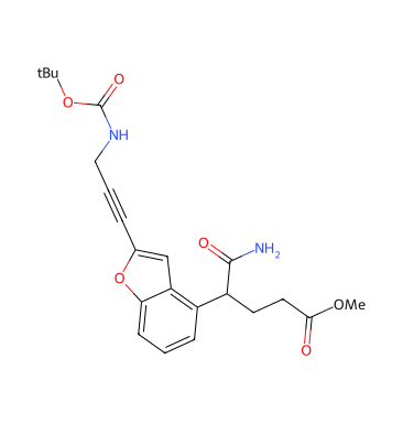 COC(=O)CCC(C(N)=O)c1cccc2oc(C#CCNC(=O)OC(C)(C)C)cc12